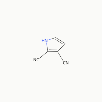 N#Cc1cc[nH]c1C#N